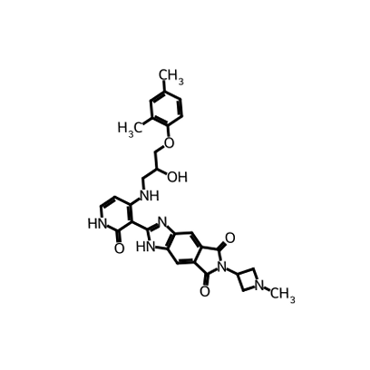 Cc1ccc(OCC(O)CNc2cc[nH]c(=O)c2-c2nc3cc4c(cc3[nH]2)C(=O)N(C2CN(C)C2)C4=O)c(C)c1